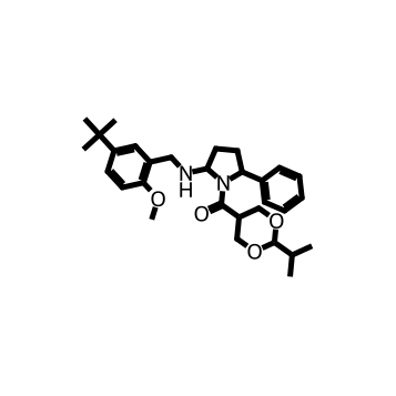 COc1ccc(C(C)(C)C)cc1CNC1CCC(c2ccccc2)N1C(=O)C1COC(C(C)C)OC1